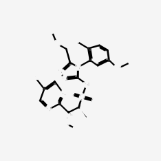 COCc1nnc(NS(=O)(=O)[C@@H](C)[C@H](OC)c2ncc(Cl)cn2)n1-c1cc(OC)ccc1Cl